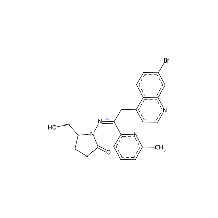 Cc1cccc(/C(Cc2ccnc3cc(Br)ccc23)=N\N2C(=O)CCC2CO)n1